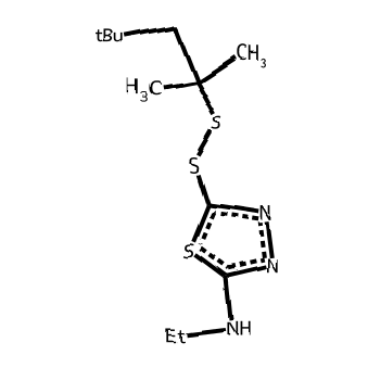 CCNc1nnc(SSC(C)(C)CC(C)(C)C)s1